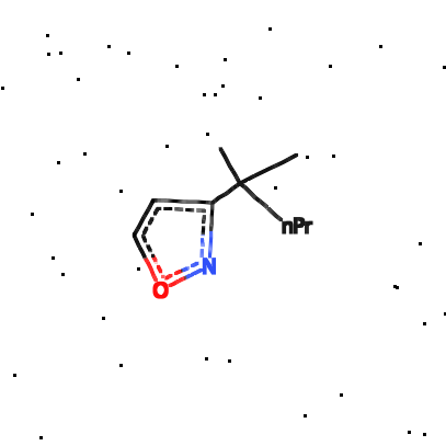 CCCC(C)(C)c1ccon1